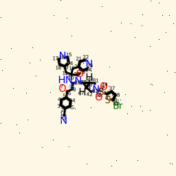 N#Cc1ccc(C(=O)/C=C2\NC(Cc3ccncc3)(Cc3ccncc3)C(=O)N2[C@H]2[C@@H]3CN(S(=O)(=O)c4ccc(Br)s4)C[C@@H]32)cc1